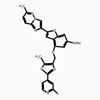 COc1cc(OCc2nc(-c3ccnc(F)c3)sc2C)c2cc(-c3cn4nc(C)ccc4n3)oc2c1